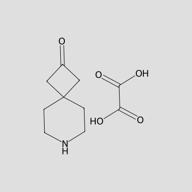 O=C(O)C(=O)O.O=C1CC2(CCNCC2)C1